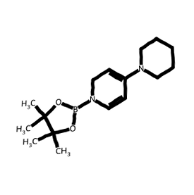 CC1(C)OB(N2C=CC(N3CCCCC3)=CC2)OC1(C)C